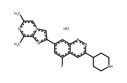 Cc1cn2cc(-c3cc(F)c4cc(C5CCNCC5)nnc4c3)nc2c(C)n1.Cl